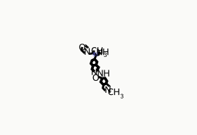 C/C(CN1CCOCC1)=C(\C=N)c1ccc2cnc(NC(=O)c3ccc4c(c3)CCN(C)C4)cc2c1